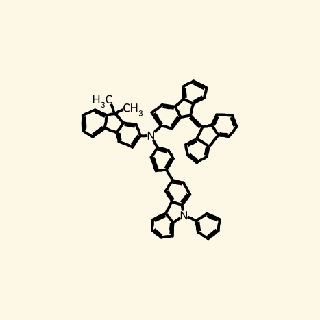 CC1(C)c2ccccc2-c2ccc(N(c3ccc(-c4ccc5c(c4)c4ccccc4n5-c4ccccc4)cc3)c3ccc4c(c3)C(=C3c5ccccc5-c5ccccc53)c3ccccc3-4)cc21